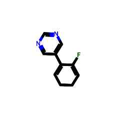 FC1=CCCC=C1c1cncnc1